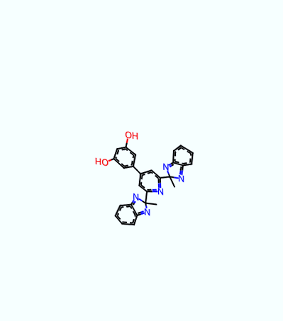 CC1(c2cc(-c3cc(O)cc(O)c3)cc(C3(C)N=c4ccccc4=N3)n2)N=c2ccccc2=N1